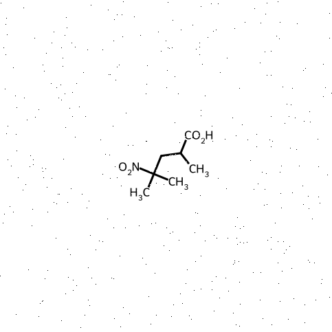 CC(CC(C)(C)[N+](=O)[O-])C(=O)O